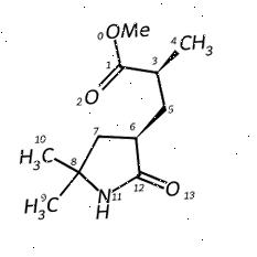 COC(=O)[C@@H](C)C[C@@H]1CC(C)(C)NC1=O